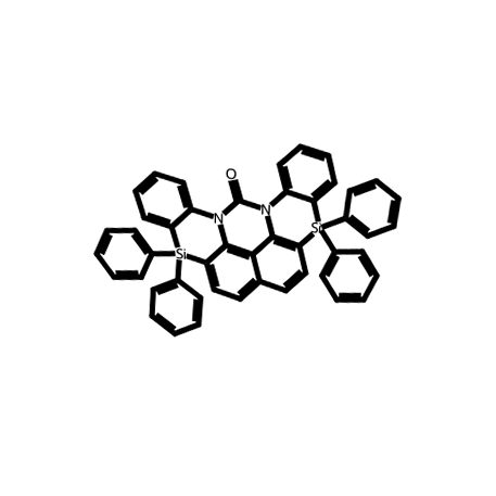 O=C1N2c3ccccc3[Si](c3ccccc3)(c3ccccc3)c3ccc4ccc5c(c4c32)N1c1ccccc1[Si]5(c1ccccc1)c1ccccc1